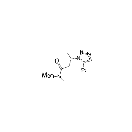 CCc1cnnn1C(C)CC(=O)N(C)OC